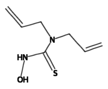 C=CCN(CC=C)C(=S)NO